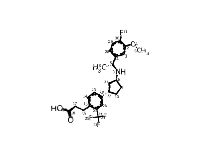 COc1cc([C@@H](C)N[C@H]2CC[C@H](c3ccc(CCC(=O)O)c(C(F)(F)F)c3)C2)ccc1F